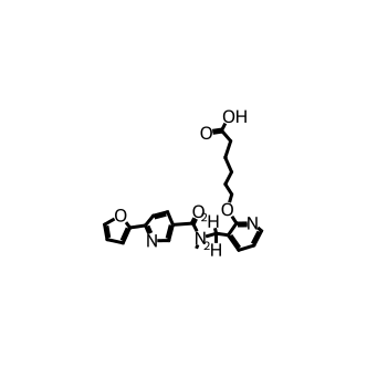 [2H]C([2H])(c1cccnc1OCCCCCC(=O)O)N(C)C(=O)c1ccc(-c2ccco2)nc1